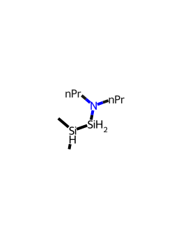 CCCN(CCC)[SiH2][SiH](C)C